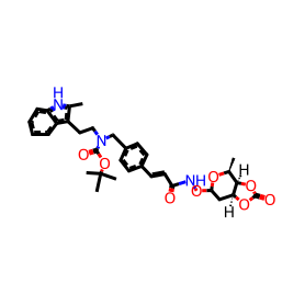 Cc1[nH]c2ccccc2c1CCN(Cc1ccc(/C=C/C(=O)NOC2C[C@@H]3OC(=O)O[C@@H]3[C@H](C)O2)cc1)C(=O)OC(C)(C)C